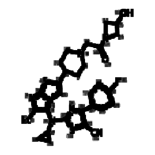 CCc1nc2sc(C3CCN(CC(=O)N4CC(O)C4)CC3)cn2c1N(c1nc(-c2ccc(F)cc2)c(C#N)s1)C1CC1